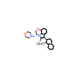 Cc1c(-c2ccc3ccccc3c2C=O)c2cccc3c2n1[C@H](CN1CCOCC1)CO3